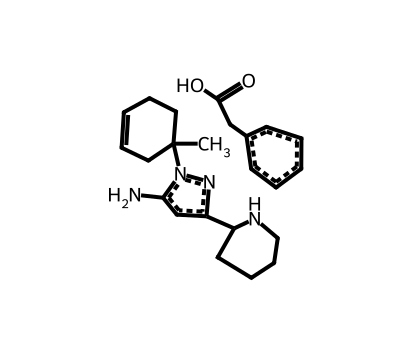 CC1(n2nc(C3CCCCN3)cc2N)CC=CCC1.O=C(O)Cc1ccccc1